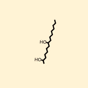 CCCCCCCCC(O)CCCCCC(C)O